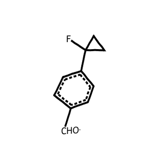 O=[C]c1ccc(C2(F)CC2)cc1